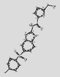 Cc1ccc(S(=O)(=O)c2ccc3nc(NC(=O)c4ccc(CO)o4)sc3c2)cc1